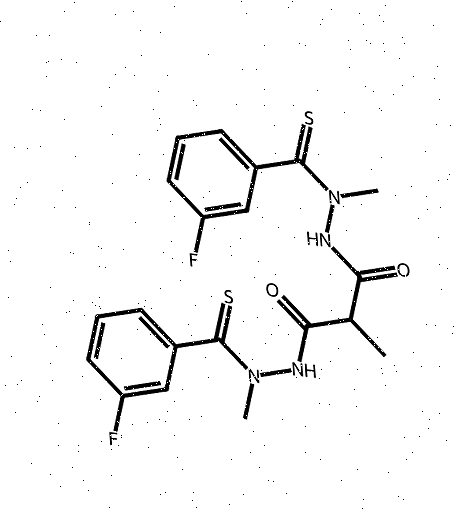 CC(C(=O)NN(C)C(=S)c1cccc(F)c1)C(=O)NN(C)C(=S)c1cccc(F)c1